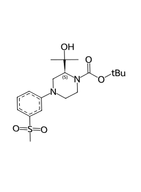 CC(C)(C)OC(=O)N1CCN(c2cccc(S(C)(=O)=O)c2)C[C@H]1C(C)(C)O